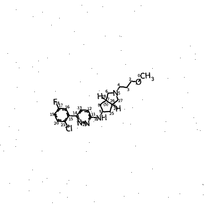 COCCCN1C[C@H]2CC(Nc3ccc(-c4cc(F)ccc4Cl)nn3)C[C@H]2C1